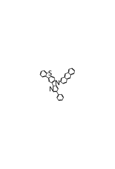 c1ccc(-c2cnc3c4cc5c(cc4n(-c4ccc6cc7ccccc7cc6c4)c3c2)sc2ccccc25)cc1